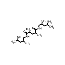 CC(N)CC(C)CNC(=O)C(C)CC(C)C(=O)NCC(C)CC(C)N